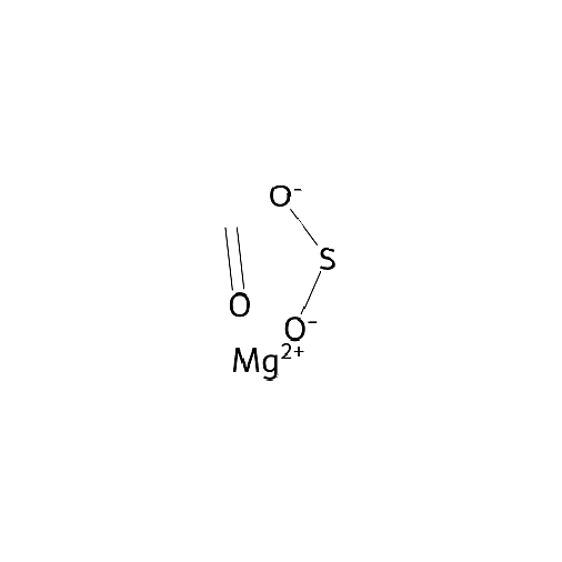 C=O.[Mg+2].[O-]S[O-]